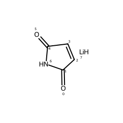 O=C1C=CC(=O)N1.[LiH]